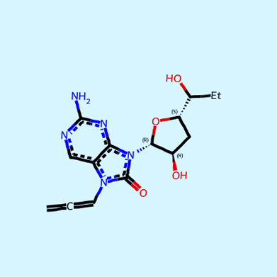 C=C=Cn1c(=O)n([C@@H]2O[C@H](C(O)CC)C[C@H]2O)c2nc(N)ncc21